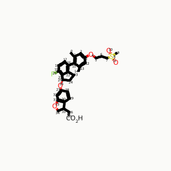 Cc1cc(OCCCS(C)(=O)=O)cc(C)c1-c1ccc(F)c2c1CC[C@H]2Oc1ccc2c(c1)OCC2CC(=O)O